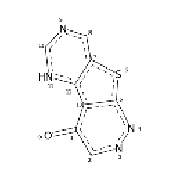 O=c1cnnc2sc3cnc[nH]c3c12